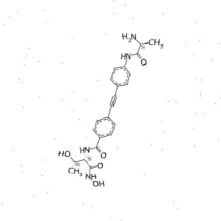 C[C@H](N)C(=O)Nc1ccc(C#Cc2ccc(C(=O)N[C@H](C(=O)NO)[C@H](C)O)cc2)cc1